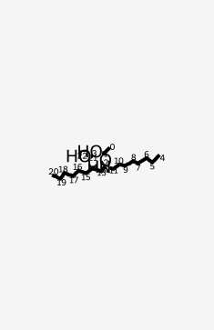 CC(=O)O.CCCCCCCCNCCCCCCCC.CO